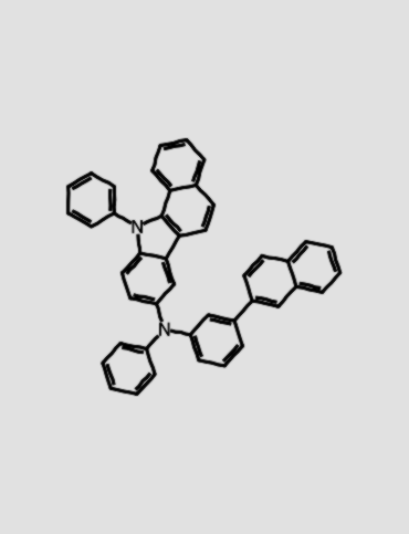 c1ccc(N(c2cccc(-c3ccc4ccccc4c3)c2)c2ccc3c(c2)c2ccc4ccccc4c2n3-c2ccccc2)cc1